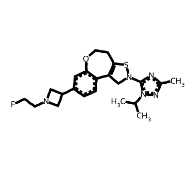 Cc1nc(N2CC3=C(CCOc4cc(C5CN(CCF)C5)ccc43)S2)n(C(C)C)n1